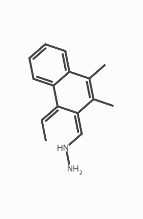 C/C=c1\c(=C/NN)c(C)c(C)c2ccccc12